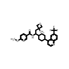 COc1ccc(C(=O)NC(CC2(C)COC2)C2CCC(c3ccnc4ccc(C(F)(F)F)cc34)CC2)cn1